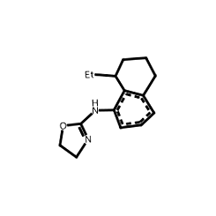 CCC1CCCc2cccc(NC3=NCCO3)c21